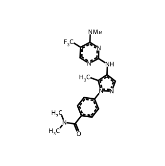 CNc1nc(Nc2cnn(-c3ccc(C(=O)N(C)C)cc3)c2C)ncc1C(F)(F)F